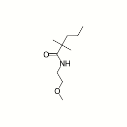 CCCC(C)(C)C(=O)NCCOC